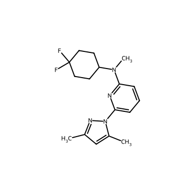 Cc1cc(C)n(-c2cccc(N(C)C3CCC(F)(F)CC3)n2)n1